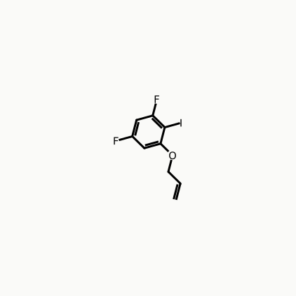 C=CCOc1cc(F)cc(F)c1I